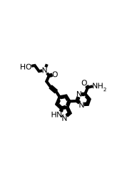 CN(CCO)C(=O)CC#Cc1cc(-c2nccc(C(N)=O)n2)c2cn[nH]c2c1